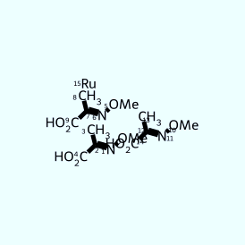 CON=C(C)C(=O)O.CON=C(C)C(=O)O.CON=C(C)C(=O)O.[Ru]